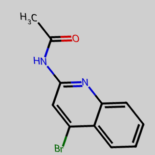 CC(=O)Nc1cc(Br)c2ccccc2n1